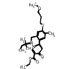 CCOC(=O)c1cn2c(cc1=O)-c1cc(C)c(OCCCOC)cc1CN2C(C)(C)CC